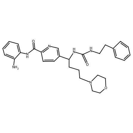 Nc1ccccc1NC(=O)c1ccc(C(CCCN2CCOCC2)NC(=O)NCCc2ccccc2)cn1